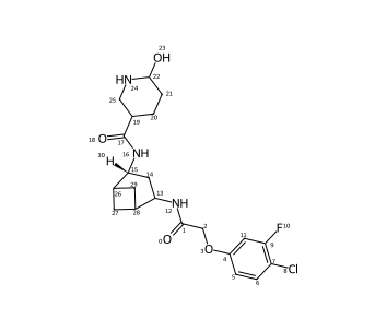 O=C(COc1ccc(Cl)c(F)c1)NC1C[C@@H](NC(=O)C2CCC(O)NC2)C2CC1C2